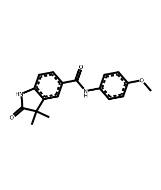 COc1ccc(NC(=O)c2ccc3c(c2)C(C)(C)C(=O)N3)cc1